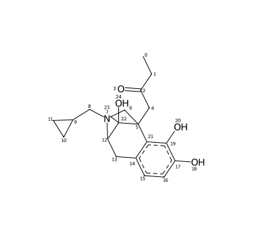 CCC(=O)CC12CN(CC3CC3)C(Cc3ccc(O)c(O)c31)C2(C)O